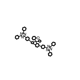 c1ccc(-c2nc(-c3ccccc3)nc(-c3ccc(-c4ccc5c(c4)C4(c6ccccc6Oc6ccccc64)c4cc(-c6ccc(-c7nc(-c8ccccc8)nc(-c8ccccc8)n7)cc6)ccc4-5)cc3)n2)cc1